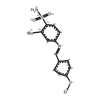 CCOc1ccc(C=Nc2ccc(S(N)(=O)=O)c(C(C)(C)C)c2)cc1